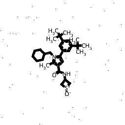 Cc1c(C(=O)NC2C[S+]([O-])C2)cc(-c2cc(C(C)(C)C)cc(C(C)(C)C)c2)n1CC1CCCCC1